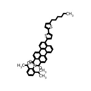 CCCCCCc1ccc(-c2ccc(-c3ccc4c5ccc6c7c(ccc(c8cccc3c84)c75)C(=O)N(c3c(C(C)C)cccc3C(C)C)C6=O)s2)s1